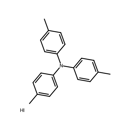 Cc1ccc(N(c2ccc(C)cc2)c2ccc(C)cc2)cc1.I